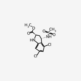 COC(=O)[C@H]1C[C@H](NS(C)(=O)=O)c2c(Cl)cc(Cl)cc2N1